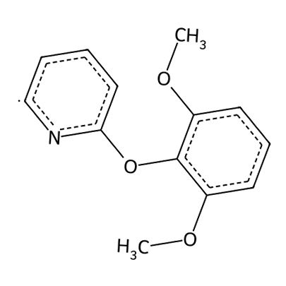 COc1cccc(OC)c1Oc1ccc[c]n1